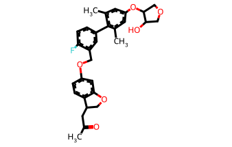 CC(=O)CC1COc2cc(OCc3cc(-c4c(C)cc(OC5COCC5O)cc4C)ccc3F)ccc21